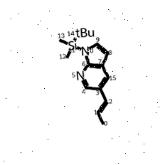 CC=Cc1cnc2c(ccn2[Si](C)(C)C(C)(C)C)c1